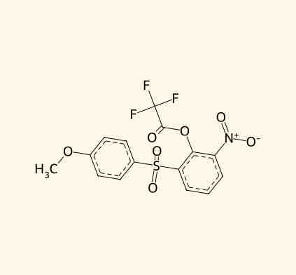 COc1ccc(S(=O)(=O)c2cccc([N+](=O)[O-])c2OC(=O)C(F)(F)F)cc1